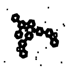 c1ccc(-c2cc(-c3ccccc3)c3sc4c(N(c5ccc(-c6ccc7oc8ccccc8c7c6)cc5)c5ccc(-c6ccc7oc8ccccc8c7c6)cc5)cccc4c3c2)cc1